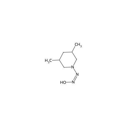 CC1CC(C)CN(/N=N\O)C1